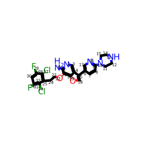 Nc1ncc2c(-c3ccc(N4CCNCC4)nc3)coc2c1OCCc1c(Cl)c(F)cc(F)c1Cl